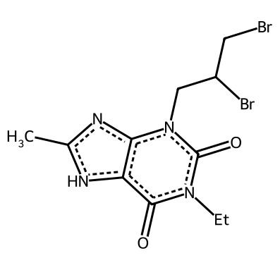 CCn1c(=O)c2[nH]c(C)nc2n(CC(Br)CBr)c1=O